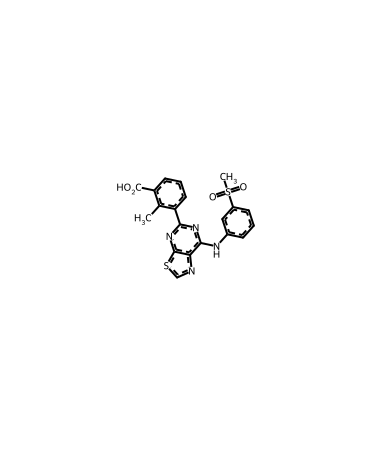 Cc1c(C(=O)O)cccc1-c1nc(Nc2cccc(S(C)(=O)=O)c2)c2ncsc2n1